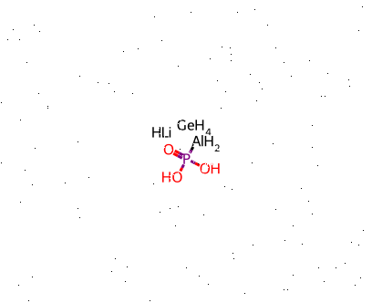 O=[P](O)(O)[AlH2].[GeH4].[LiH]